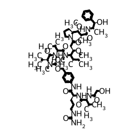 CC[C@H](C)C([C@@H](CC(=O)N1CCC[C@H]1[C@H](OC)[C@@H](C)C(=O)N[C@H](C)[C@@H](O)c1ccccc1)OC)N(C)C(=O)[C@@H](NC(=O)[C@H](C(C)C)N(C)C(=O)OCc1ccc(NC(=O)[C@H](CCCNC(N)=O)NC(=O)[C@@H](NC(=O)CO)C(C)C)cc1)C(C)C